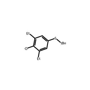 CCc1cc(SC(C)(C)C)cc(CC)c1[O]